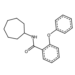 O=C(NC1CCCCCC1)c1ccccc1Oc1ccccc1